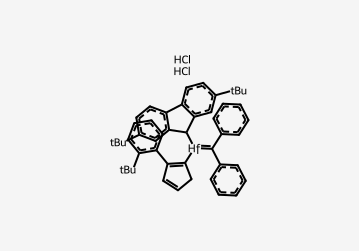 CC(C)(C)c1ccc2c(c1)[CH]([Hf]([C]1=C(c3ccccc3C(C)(C)C)C=CC1)=[C](c1ccccc1)c1ccccc1)c1cc(C(C)(C)C)ccc1-2.Cl.Cl